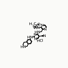 CS(=O)(=O)Nc1nccnc1CNc1nc(Nc2ccc3c(c2)CCNC3)ncc1C#N.Cl